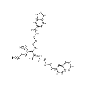 O=C(O)COC(C(=O)O)C(OCCCCNc1ccc2c(c1)CCC2)C(=O)NCCCCCc1ccc2ccccc2c1